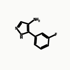 Nc1cn[nH]c1-c1cccc(F)c1